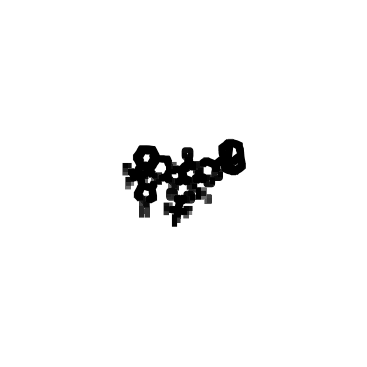 Cn1c2c(c(=O)n(CC(=O)C34CC5CC(CC(C5)C3)C4)c1=O)N(Cc1cccc(C(F)(F)F)c1)C(N1CCC3CNCC31)N2OC(=O)C(F)(F)F